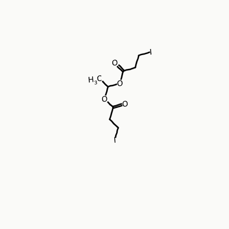 CC(OC(=O)CCI)OC(=O)CCI